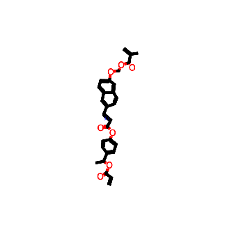 C=CC(=O)OC(C)c1ccc(OC(=O)/C=C/c2ccc3cc(OCOC(=O)C(=C)C)ccc3c2)cc1